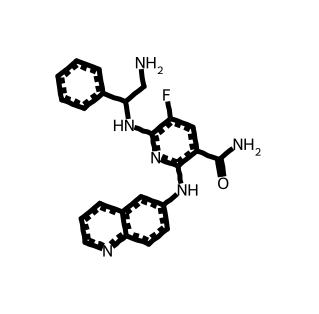 NCC(Nc1nc(Nc2ccc3ncccc3c2)c(C(N)=O)cc1F)c1ccccc1